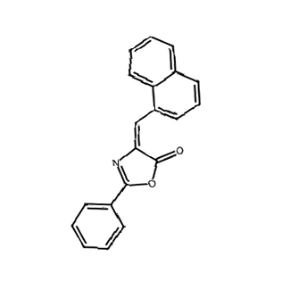 O=C1OC(c2ccccc2)=N/C1=C/c1cccc2ccccc12